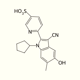 Cc1cc2c(cc1O)c(C#N)c(-c1ccc(S(=O)(=O)O)cn1)n2C1CCCC1